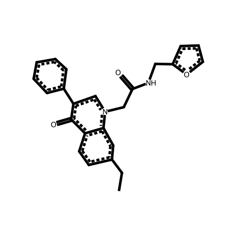 CCc1ccc2c(=O)c(-c3ccccc3)cn(CC(=O)NCc3ccco3)c2c1